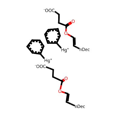 CCCCCCCCCCC=COC(=O)CCC(=O)[O-].CCCCCCCCCCC=COC(=O)CCC(=O)[O-].[Hg+][c]1ccccc1.[Hg+][c]1ccccc1